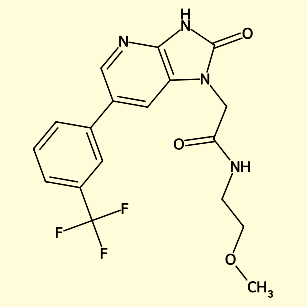 COCCNC(=O)Cn1c(=O)[nH]c2ncc(-c3cccc(C(F)(F)F)c3)cc21